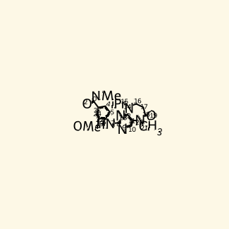 CNC(=O)c1ccc(Nc2ncc3c(n2)N(C(C)C)CCC(=O)N3C)c(OC)c1